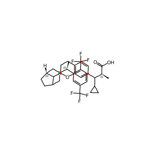 C[C@H](C(=O)O)C(c1ccc2c(c1)OC(C1C3CC[C@@H]1CN([C@@H](C)c1cc(C(F)(F)F)ccc1C(F)(F)F)C3)CC2)C1CC1